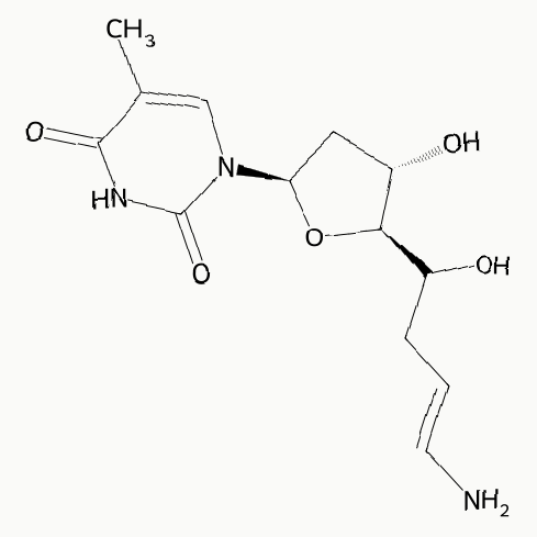 Cc1cn([C@H]2C[C@H](O)[C@@H](C(O)CC=CN)O2)c(=O)[nH]c1=O